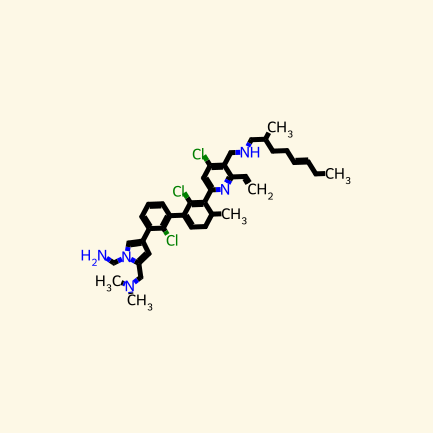 C=Cc1nc(C2=C(Cl)C(c3cccc(-c4cc(CN(C)C)n(CN)c4)c3Cl)=CCC2C)cc(Cl)c1CNCC(C)CC/C=C/CC